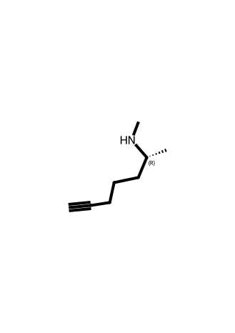 C#CCCC[C@@H](C)NC